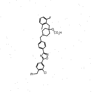 CC(C)Cc1ccc(-c2nc(-c3ccc(CN4CCC(Cc5c(F)cccc5F)(OC(=O)O)CC4)cc3)no2)cc1Cl